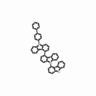 c1ccc(-c2ccc(-n3c4ccccc4c4c(-c5cccc6c5c5ccccc5n6-c5cccc6sc7ccccc7c56)cccc43)cc2)cc1